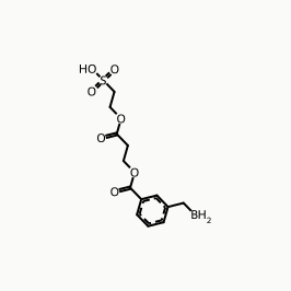 BCc1cccc(C(=O)OCCC(=O)OCCS(=O)(=O)O)c1